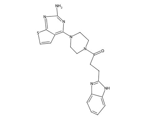 Nc1nc(N2CCN(C(=O)CCc3nc4ccccc4[nH]3)CC2)c2ccsc2n1